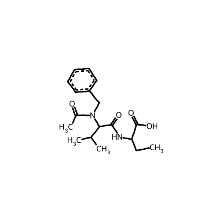 CCC(NC(=O)C(C(C)C)N(Cc1ccccc1)C(C)=O)C(=O)O